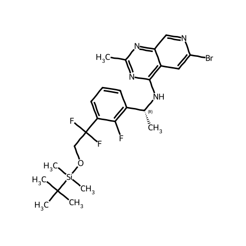 Cc1nc(N[C@H](C)c2cccc(C(F)(F)CO[Si](C)(C)C(C)(C)C)c2F)c2cc(Br)ncc2n1